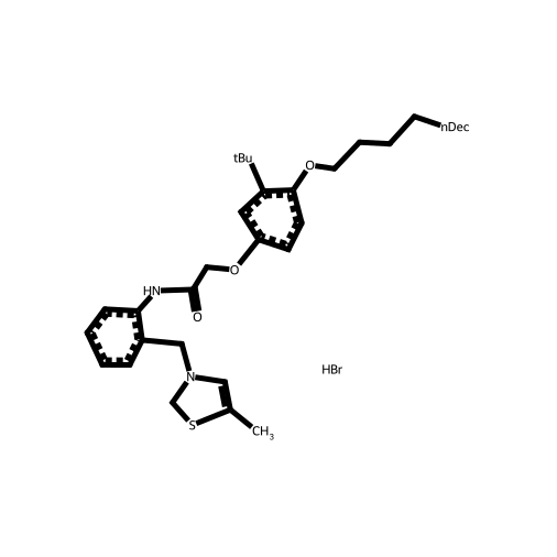 Br.CCCCCCCCCCCCCCOc1ccc(OCC(=O)Nc2ccccc2CN2C=C(C)SC2)cc1C(C)(C)C